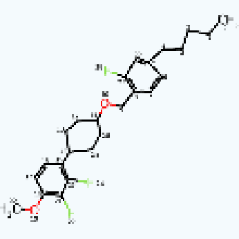 CCCCCc1ccc(COC2CCC(c3ccc(OC)c(F)c3F)CC2)c(F)c1